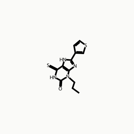 CCCn1c(=O)[nH]c(=S)c2[nH]c(-c3ccsc3)nc21